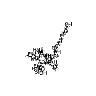 C=C(F)/C=c1/nc2c(c(C(C)NC(O)C3(OCNC(=O)CNC(=O)[C@H](Cc4ccccc4)NC(=O)CNC(=O)CNC(=O)COCCOCCOCCOCCO)CC3)c1=C)CC(CCC(O)C1=C(CC)[C@@](O)(CC)[C@@H](O)OC1)C2